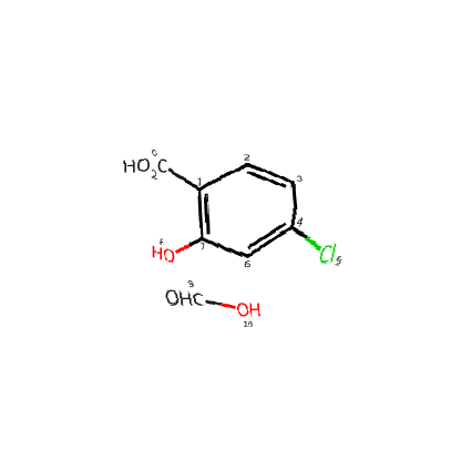 O=C(O)c1ccc(Cl)cc1O.O=CO